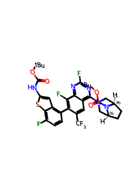 CC(C)(C)OC(=O)Nc1cc2c(-c3c(C(F)(F)F)cc4c(N5C[C@H]6CC[C@@H](C5)N6C(=O)OC(C)(C)C)nc(F)nc4c3F)ccc(F)c2s1